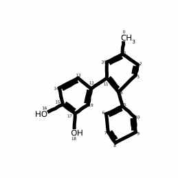 Cc1ccc(-c2ccccc2)c(-c2ccc(O)c(O)c2)c1